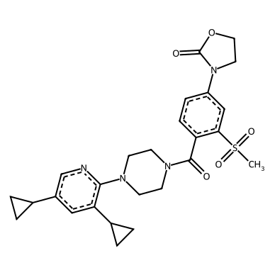 CS(=O)(=O)c1cc(N2CCOC2=O)ccc1C(=O)N1CCN(c2ncc(C3CC3)cc2C2CC2)CC1